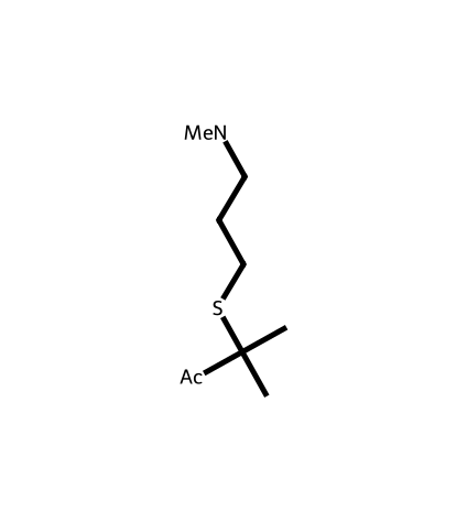 CNCCCSC(C)(C)C(C)=O